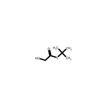 CC(C)(C)SC(=O)CO